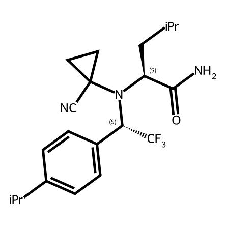 CC(C)C[C@@H](C(N)=O)N([C@@H](c1ccc(C(C)C)cc1)C(F)(F)F)C1(C#N)CC1